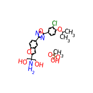 CC(C)Oc1ccc(-c2nc(-c3ccc4oc(C(N)(CO)CO)cc4c3)no2)cc1Cl.CS(=O)(=O)O